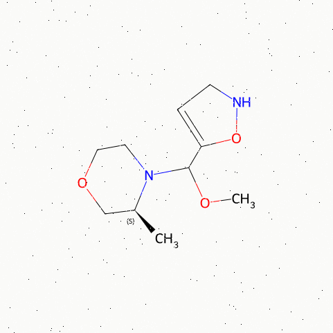 COC(C1=CCNO1)N1CCOC[C@@H]1C